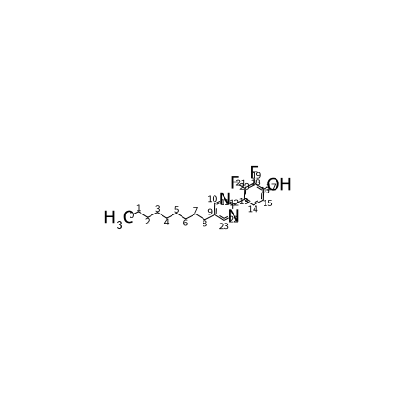 CCCCCCCCCc1cnc(-c2ccc(O)c(F)c2F)nc1